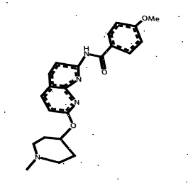 COc1ccc(C(=O)Nc2ccc3ccc(OC4CCN(C)CC4)nc3n2)cc1